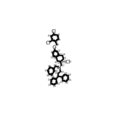 Cl.Clc1ccc(COc2ccc3c(c2)CCC(CN(CCC(c2ccccc2)c2ccccc2)Cc2ccccc2)C3)c(Cl)c1